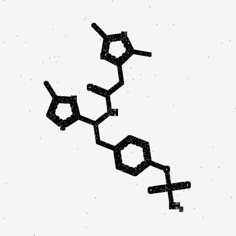 Cc1csc(C(Cc2ccc(OS(N)(=O)=O)cc2)NC(=O)Cc2sc(C)nc2C)n1